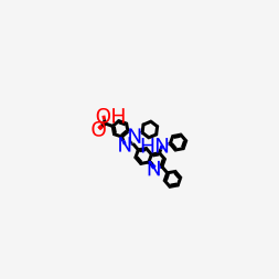 O=C(O)c1ccc2c(c1)nc(-c1ccc3nc(-c4ccccc4)cc(Nc4ccccc4)c3c1)n2C1CCCCC1